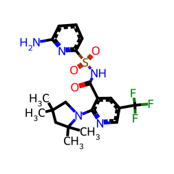 CC1(C)CN(c2ncc(C(F)(F)F)cc2C(=O)NS(=O)(=O)c2cccc(N)n2)C(C)(C)C1